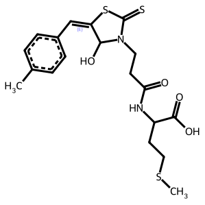 CSCCC(NC(=O)CCN1C(=S)S/C(=C/c2ccc(C)cc2)C1O)C(=O)O